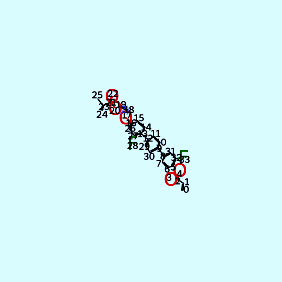 C=CC(=O)Oc1ccc(-c2ccc(-c3ccc(O/C=C\OC(=O)C(=C)C)cc3F)cc2)cc1F